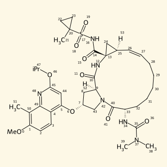 COc1ccc2c(O[C@@H]3C[C@H]4C(=O)N[C@]5(C(=O)NS(=O)(=O)C6(C)CC6)C[C@H]5C=CCCCCC[C@H](NC(=O)N(C)C)C(=O)N4C3)cc(OC(C)C)nc2c1C